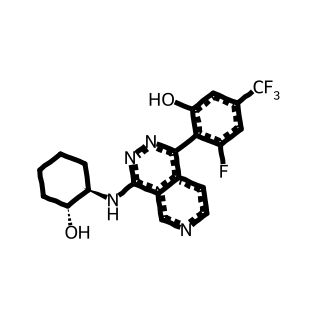 Oc1cc(C(F)(F)F)cc(F)c1-c1nnc(N[C@@H]2CCCC[C@H]2O)c2cnccc12